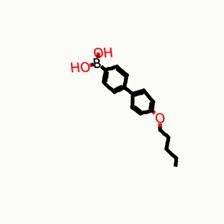 CCCCCOc1ccc(-c2ccc(B(O)O)cc2)cc1